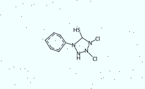 SC1N(c2ccccc2)NN(Cl)N1Cl